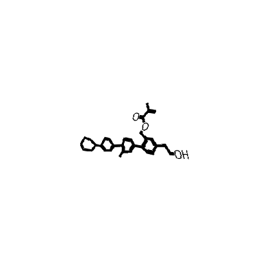 C=C(C)C(=O)OCc1cc(CCO)ccc1-c1ccc(-c2ccc(C3CCCCC3)cc2)c(C)c1